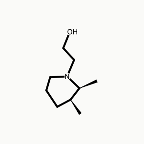 C[C@H]1CCCN(CCO)[C@H]1C